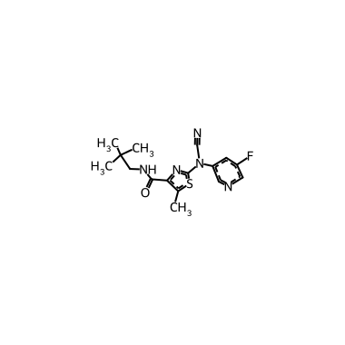 Cc1sc(N(C#N)c2cncc(F)c2)nc1C(=O)NCC(C)(C)C